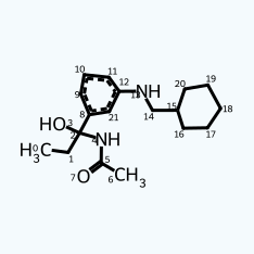 CCC(O)(NC(C)=O)c1cccc(NCC2CCCCC2)c1